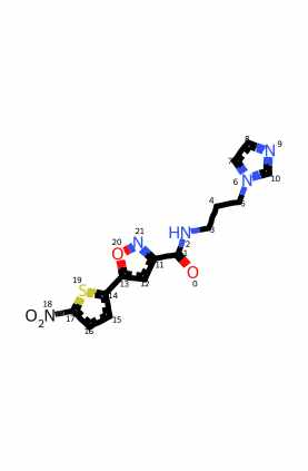 O=C(NCCCn1ccnc1)c1cc(-c2ccc([N+](=O)[O-])s2)on1